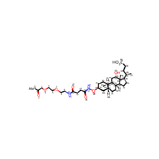 CNC(=O)COCCOCCNC(=O)CCC(=O)NO[C@H]1CC[C@@]2(C)[C@H](CC[C@H]3C4CC[C@H]([C@H](C)CCC(=O)O)[C@@]4(C)[C@@H](O)C[C@@H]32)C1